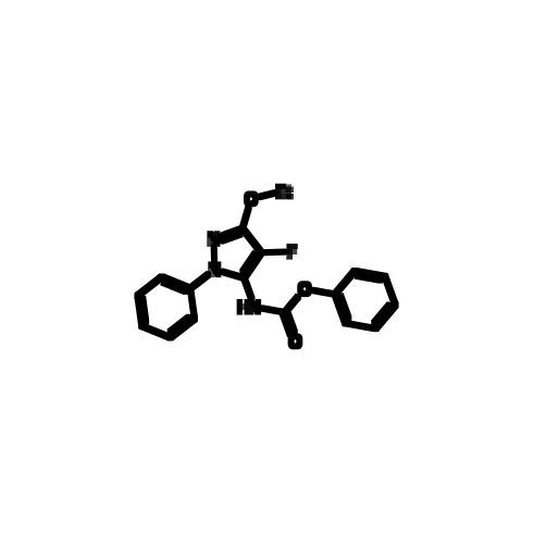 CCOc1nn(-c2ccccc2)c(NC(=O)Oc2ccccc2)c1F